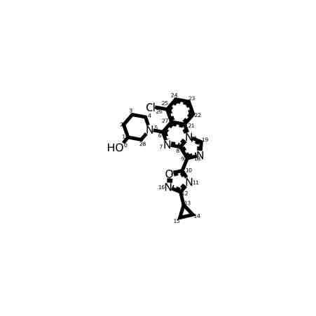 OC1CCCN(c2nc3c(-c4nc(C5CC5)no4)ncn3c3cccc(Cl)c23)C1